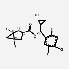 Cl.O=C(N[C@@H](c1cc(F)c(Cl)cc1F)C1CC1)[C@H]1C[C@H]2C[C@H]2N1